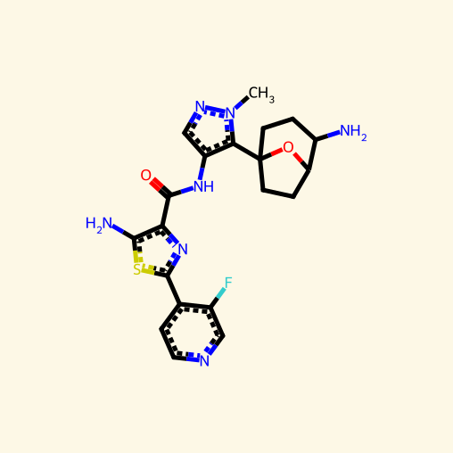 Cn1ncc(NC(=O)c2nc(-c3ccncc3F)sc2N)c1C12CCC(N)C(CC1)O2